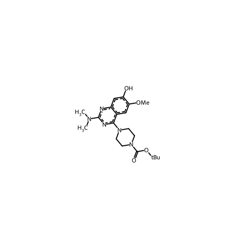 COc1cc2c(N3CCN(C(=O)OC(C)(C)C)CC3)nc(N(C)C)nc2cc1O